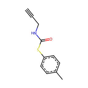 C#CCNC(=O)Sc1ccc(C)cc1